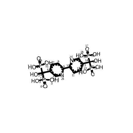 O=P(O)(O)C(O)(c1ccc(-c2ccc(C(O)(P(=O)(O)O)P(=O)(O)O)cn2)nc1)P(=O)(O)O